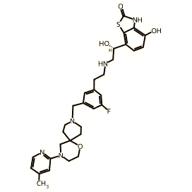 Cc1ccnc(N2CCOC3(CCN(Cc4cc(F)cc(CCNC[C@H](O)c5ccc(O)c6[nH]c(=O)sc56)c4)CC3)C2)c1